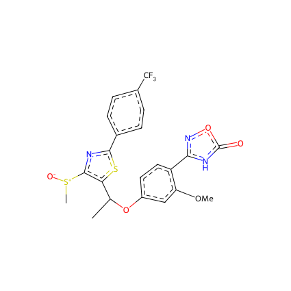 COc1cc(OC(C)c2sc(-c3ccc(C(F)(F)F)cc3)nc2[S+](C)[O-])ccc1-c1noc(=O)[nH]1